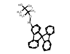 CC(C)(O)C(C)(C)OBc1ccc2c(c1)-c1ccccc1C21c2ccccc2-c2ccccc21